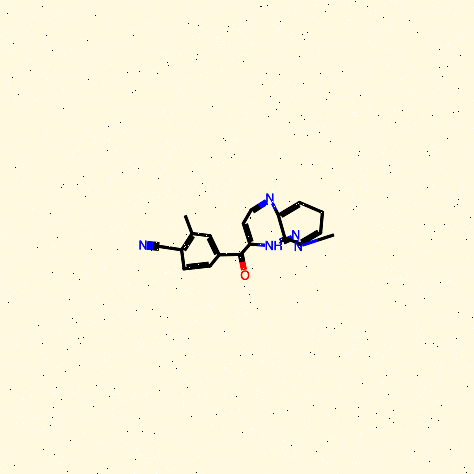 Cc1cc(C(=O)C2=CC=NC3=CCC=C4N(C)N=CC34N2)ccc1C#N